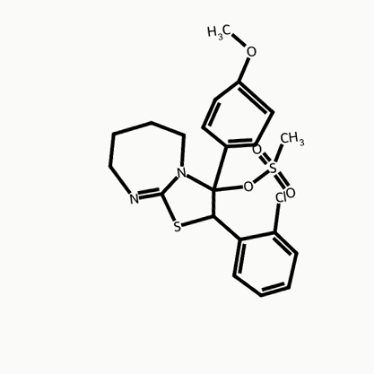 COc1ccc(C2(OS(C)(=O)=O)C(c3ccccc3Cl)SC3=NCCCCN32)cc1